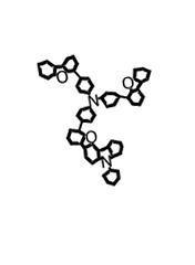 c1ccc(-n2c3ccccc3c3c4oc5c(-c6ccc(N(c7ccc(-c8cccc9c8oc8ccccc89)cc7)c7ccc(-c8cccc9c8oc8ccccc89)cc7)cc6)cccc5c4ccc32)cc1